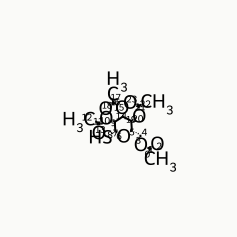 CC(=O)OC[C@@H]1O[C@H](S)[C@@H](OC(C)=O)[C@H](OC(C)=O)[C@H]1OC(C)=O